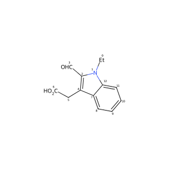 CCn1c(C=O)c(CC(=O)O)c2ccccc21